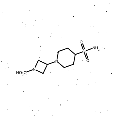 NS(=O)(=O)C1CCN(C2CN(C(=O)O)C2)CC1